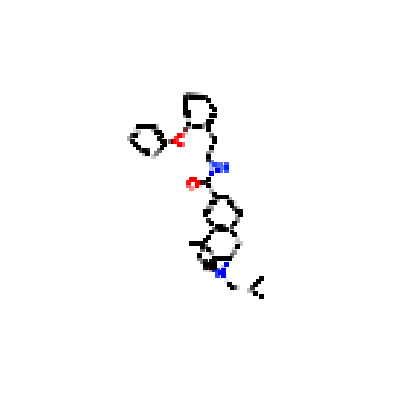 C[C@H]1C2Cc3ccc(C(=O)NCCc4ccccc4Oc4ccccc4)cc3[C@@]1(C)CCN2CC1CC1